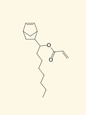 C=CC(=O)OC(CCCCCCC)C1CC2C=CC1C2